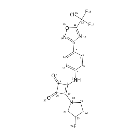 O=c1c(Nc2ccc(-c3noc(C(F)(F)Cl)n3)cc2)c(N2CCC(F)C2)c1=O